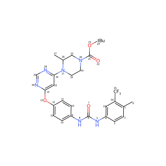 Cc1ccc(NC(=O)Nc2ccc(Oc3cc(N4CCN(C(=O)OC(C)(C)C)CC4C)ncn3)cc2)cc1C(F)(F)F